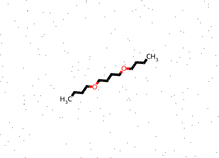 CCCCOCCCCOCCCC